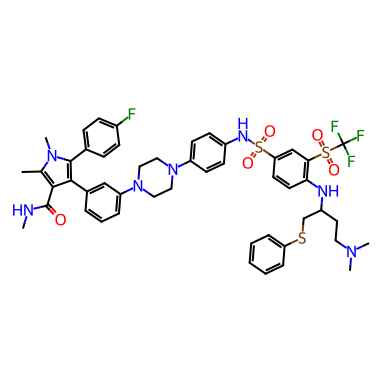 CNC(=O)c1c(-c2cccc(N3CCN(c4ccc(NS(=O)(=O)c5ccc(NC(CCN(C)C)CSc6ccccc6)c(S(=O)(=O)C(F)(F)F)c5)cc4)CC3)c2)c(-c2ccc(F)cc2)n(C)c1C